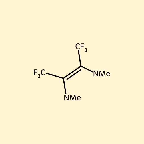 CN/C(=C(\NC)C(F)(F)F)C(F)(F)F